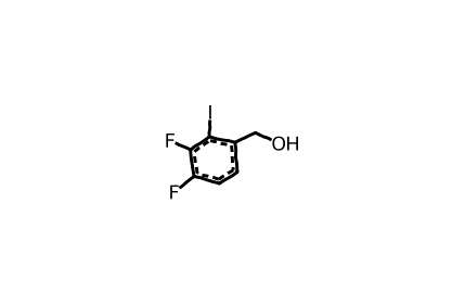 OCc1ccc(F)c(F)c1I